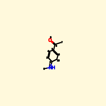 CNC1C=CC(C(C)=O)=CC1